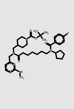 CNc1nccc(CN(CC2CCN(C(=O)OC(C)(C)C)CC2)C(=O)CCCCCCN(C(=O)c2ccc(F)cc2)C2CCCC2)n1